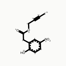 O=C(Cc1cc([N+](=O)[O-])ccc1O)OCC#CI